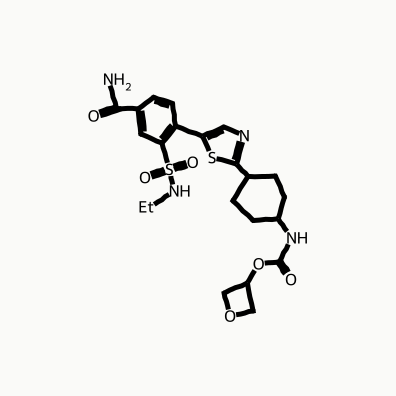 CCNS(=O)(=O)c1cc(C(N)=O)ccc1-c1cnc(C2CCC(NC(=O)OC3COC3)CC2)s1